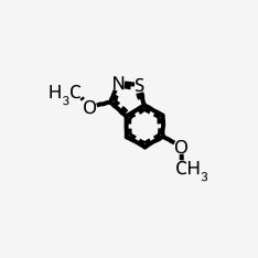 COc1ccc2c(OC)nsc2c1